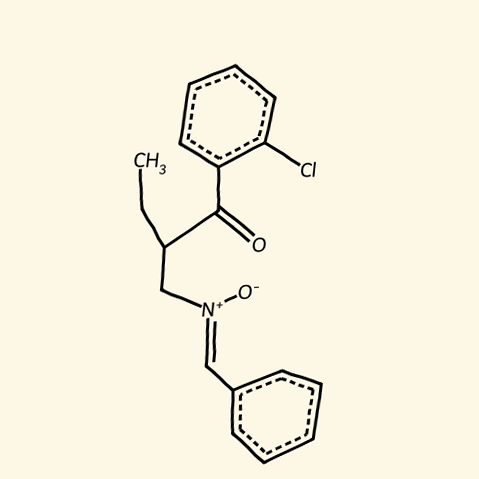 CCC(C[N+]([O-])=Cc1ccccc1)C(=O)c1ccccc1Cl